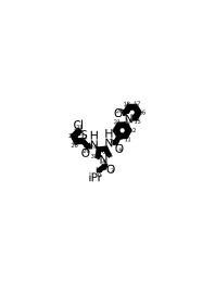 CC(C)CC(=O)N1C[C@H](NC(=O)c2ccc(-n3ccccc3=O)cc2)[C@H](NC(=O)c2ccc(Cl)s2)C1